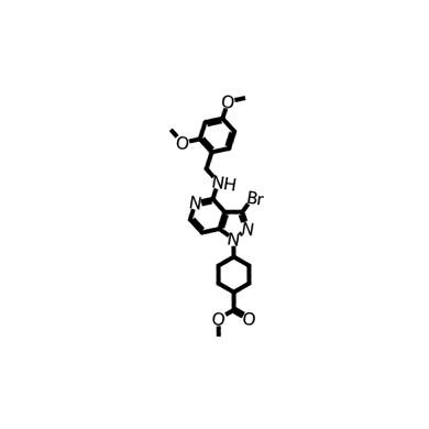 COC(=O)C1CCC(n2nc(Br)c3c(NCc4ccc(OC)cc4OC)nccc32)CC1